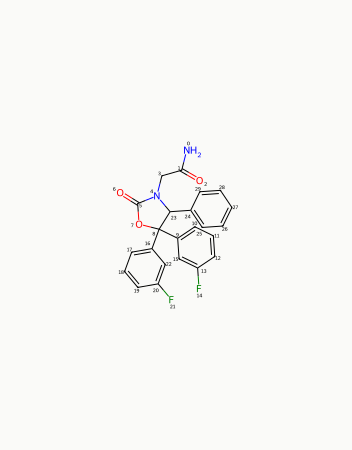 NC(=O)CN1C(=O)OC(c2cccc(F)c2)(c2cccc(F)c2)C1c1ccccc1